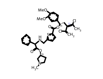 C=C(Cl)/C(C[C@H](OC(=O)c1ccc(CNC(C(=O)O[C@H]2CCN(C)C2)c2ccccc2)s1)c1ccc(OC)c(OC)c1)=C(\C)Cl